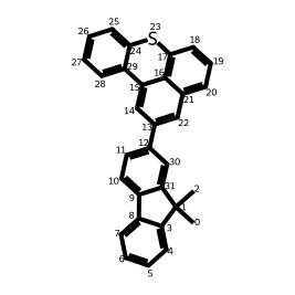 CC1(C)c2ccccc2-c2ccc(-c3cc4c5c(cccc5c3)Sc3ccccc3-4)cc21